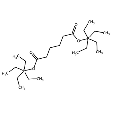 CCP(CC)(CC)(CC)OC(=O)CCCCC(=O)OP(CC)(CC)(CC)CC